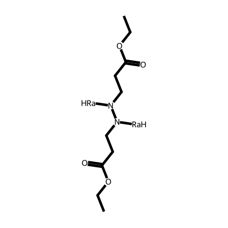 CCOC(=O)CC[N]([RaH])[N]([RaH])CCC(=O)OCC